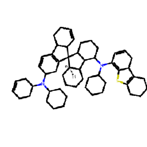 C1=CC2C(CC1)C1=C(CC(N(C3CC=CCC3)C3CCCCC3)C=C1)C21C2CCCC(N(C3=C4SC5=C(CCCC5)C4CC=C3)C3CCCCC3)C2C2CCCC[C@H]21